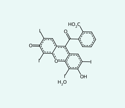 O.O=C(O)c1ccccc1C(=O)c1c2cc(I)c(=O)c(I)c-2oc2c(I)c(O)c(I)cc12